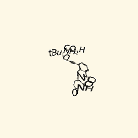 CC(C)(C)C(COCC#Cc1cccc2c1CN(C1CCC(=O)NC1=O)C2=O)NC(=O)O